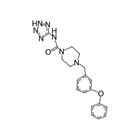 O=C(Nc1nn[nH]n1)N1CCN(Cc2cccc(Oc3ccccc3)c2)CC1